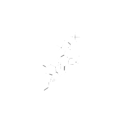 C=CCNC(=O)C(=O)C(CC=C)NC(=O)[C@@H]1CC(F)(F)CN1C(=O)[C@@H](NC(=O)OC(C)(C)C)C(C)(C)C